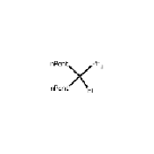 CCCCCC(P)(CC)CCCCC